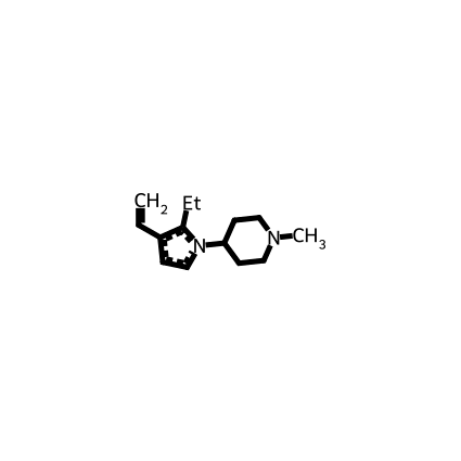 C=Cc1ccn(C2CCN(C)CC2)c1CC